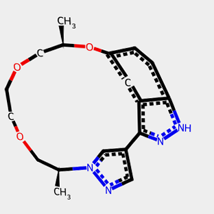 C[C@@H]1COCCOC[C@H](C)n2cc(cn2)-c2n[nH]c3ccc(cc23)O1